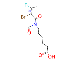 C/C(F)=C(/Br)C(=O)N(C=O)CCCCCC(=O)O